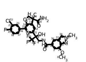 COc1cc(C(=O)NCC(O)(c2cc3c(c(-c4ccc(F)c(Cl)c4)n2)OC[C@]3(C)C(N)=O)C(F)(F)F)cc2cn(C)nc12